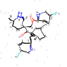 Cc1ccc(-c2ccc(F)cn2)c(C(=O)[C@]2(COc3ccc(F)cn3)CC[C@@H](C)NC2)c1